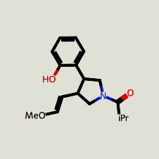 COC=CC1CN(C(=O)C(C)C)CC1c1ccccc1O